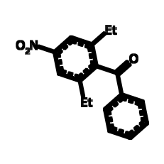 CCc1cc([N+](=O)[O-])cc(CC)c1C(=O)c1ccccc1